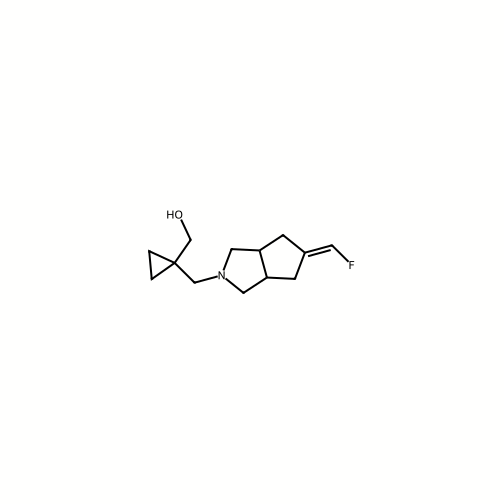 OCC1(CN2CC3CC(=CF)CC3C2)CC1